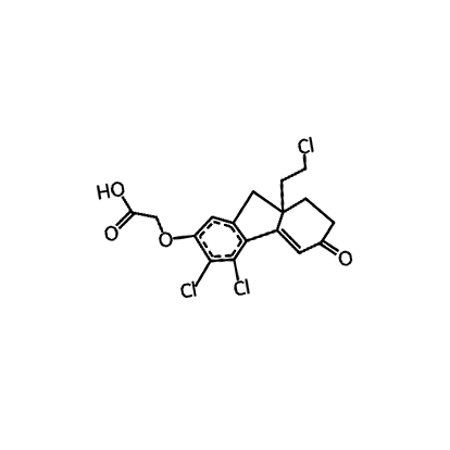 O=C(O)COc1cc2c(c(Cl)c1Cl)C1=CC(=O)CCC1(CCCl)C2